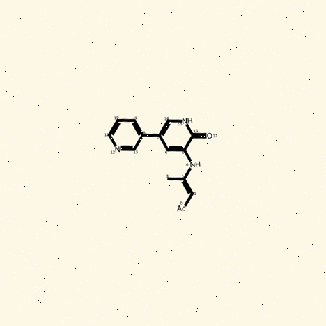 CC(=O)/C=C(\C)Nc1cc(-c2cccnc2)c[nH]c1=O